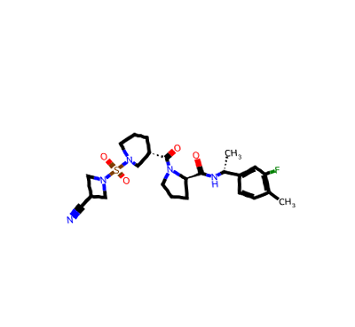 Cc1ccc([C@@H](C)NC(=O)[C@H]2CCCN2C(=O)[C@H]2CCCN(S(=O)(=O)N3CC(C#N)C3)C2)cc1F